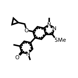 CSc1nn(C)c2cc(OCC3CC3)c(-c3cc(C)c(=O)n(C)c3)cc12